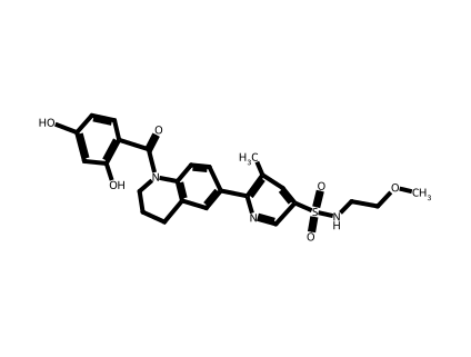 COCCNS(=O)(=O)c1cnc(-c2ccc3c(c2)CCCN3C(=O)c2ccc(O)cc2O)c(C)c1